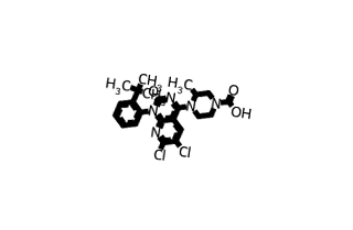 CC1CN(C(=O)O)CCN1c1nc(=O)n(-c2ccccc2C(C)(C)C)c2nc(Cl)c(Cl)cc12